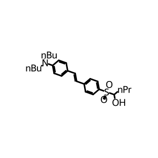 CCCCN(CCCC)c1ccc(C=Cc2ccc(S(=O)(=O)C(O)CCC)cc2)cc1